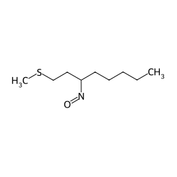 CCCCCC(CCSC)N=O